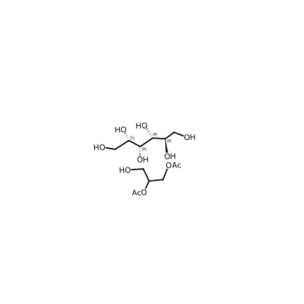 CC(=O)OCC(CO)OC(C)=O.OC[C@@H](O)[C@@H](O)[C@H](O)[C@@H](O)CO